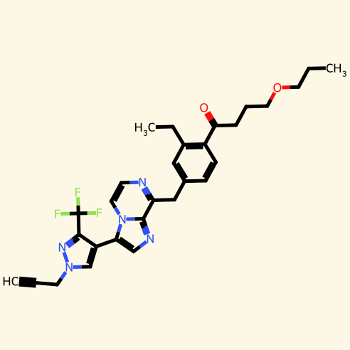 C#CCn1cc(-c2cnc3c(Cc4ccc(C(=O)CCCOCCC)c(CC)c4)nccn23)c(C(F)(F)F)n1